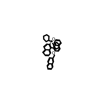 O=P(c1ccc2ccccc2c1-c1c(OCc2ccc3ccccc3c2)ccc2ccccc12)(C1CCCCC1)C1CCCCC1